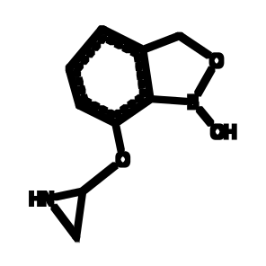 OB1OCc2cccc(OC3CN3)c21